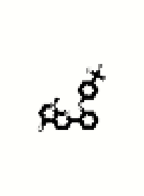 Cn1ccc(=O)c2ccc(-c3ccccc3Sc3ccc(C(F)(F)F)cc3)nc21